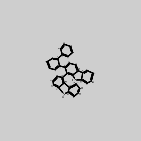 c1ccc(-c2ccccc2-c2ccc3c([nH]c4ccccc43)c2-c2cccc3sc4ccccc4c23)cc1